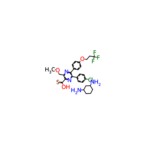 COCc1nc(-c2ccc(OCCC(F)(F)F)cc2)c(-c2ccc(Cl)cc2)nc1C(O)=S.NC1CCCC(N)C1